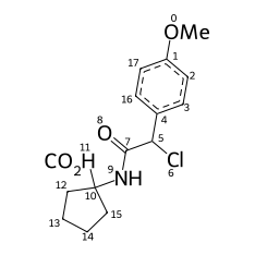 COc1ccc(C(Cl)C(=O)NC2(C(=O)O)CCCC2)cc1